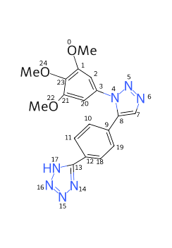 COc1cc(-n2nncc2-c2ccc(-c3nnn[nH]3)cc2)cc(OC)c1OC